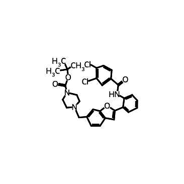 CC(C)(C)OC(=O)N1CCN(Cc2ccc3cc(-c4ccccc4NC(=O)c4ccc(Cl)c(Cl)c4)oc3c2)CC1